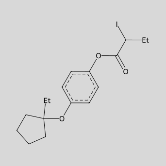 CCC(I)C(=O)Oc1ccc(OC2(CC)CCCC2)cc1